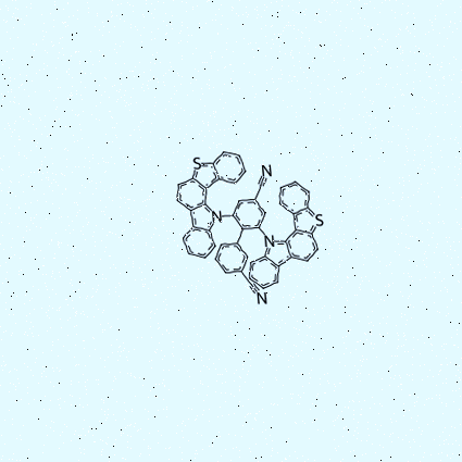 N#Cc1cccc(-c2c(-n3c4ccccc4c4ccc5sc6ccccc6c5c43)cc(C#N)cc2-n2c3ccccc3c3ccc4sc5ccccc5c4c32)c1